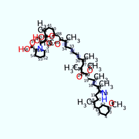 CO[C@H]1CCCC(C[C@@H](C)CCC(=N)[C@H](C)/C=C(\C)C[C@@H](OC)C(=O)[C@H](C)C[C@H](C)/C=C/C=C/C=C(\C)[C@H](C[C@@H]2CC[C@@H](C)[C@](O)(C(=O)C(=O)N3CCCC[C@H]3C(=O)O)O2)OC)C1